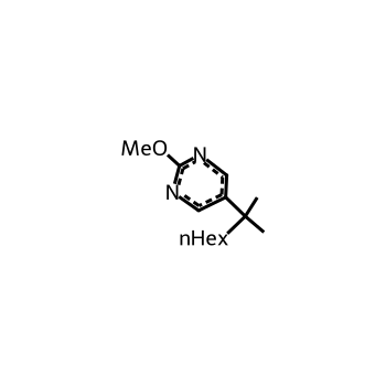 CCCCCCC(C)(C)c1cnc(OC)nc1